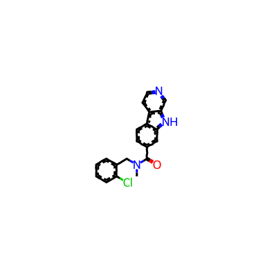 CN(Cc1ccccc1Cl)C(=O)c1ccc2c(c1)[nH]c1cnccc12